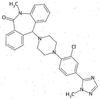 CN1C(=O)c2ccccc2C(N2CCN(c3ccc(-c4ncnn4C)cc3Cl)CC2)c2ccccc21